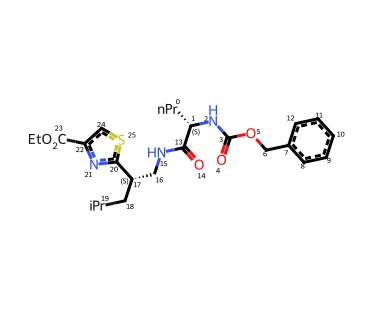 CCC[C@H](NC(=O)OCc1ccccc1)C(=O)NC[C@H](CC(C)C)c1nc(C(=O)OCC)cs1